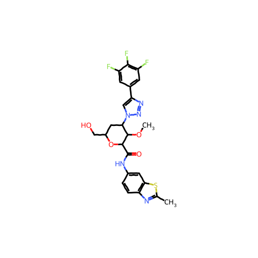 COC1C(C(=O)Nc2ccc3nc(C)sc3c2)OC(CO)CC1n1cc(-c2cc(F)c(F)c(F)c2)nn1